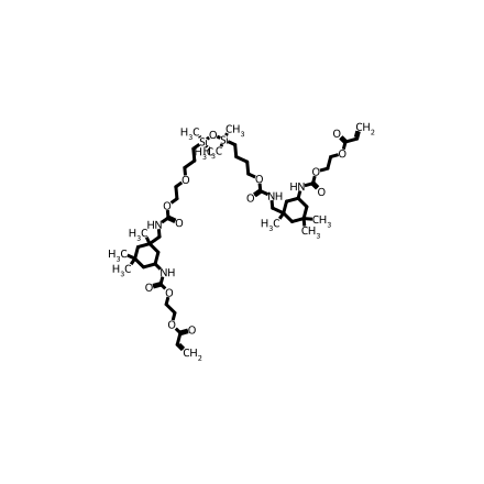 C=CC(=O)OCCOC(=O)NC1CC(C)(C)CC(C)(CNC(=O)OCCCC[Si](C)(C)O[Si](C)(C)CCCOCCOC(=O)NCC2(C)CC(NC(=O)OCCOC(=O)C=C)CC(C)(C)C2)C1